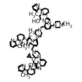 Cc1cccnc1[C@@H]1CCC[C@H](c2nc3cccc(N4CCN(Cc5ccc(N6CCN(Cc7ccc(N8CCN(C)CC8)n8cc([C@H]9CCC[C@@H](c%10ncccc%10C)N9CCO)nc78)CC6)n6c(C)c([C@H]7CCC[C@@H](c8ncccc8C)N7C)nc56)CC4)n3c2COC2CC2)N1C